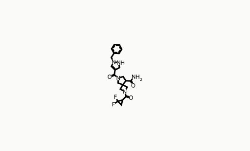 NC(=O)C1CN(C(=O)C2=CN(Cc3ccccc3)NC2)CC12CN(C(=O)C1CC1(F)F)C2